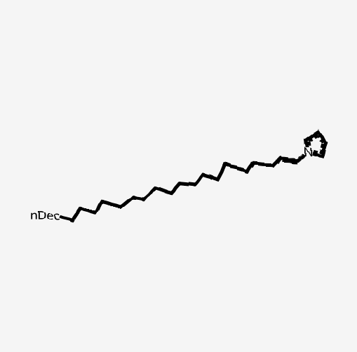 CCCCCCCCCCCCCCCCCCCCCCCCCCCC=Cn1cccc1